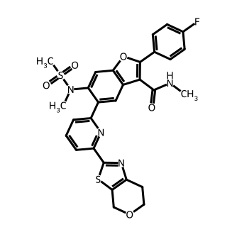 CNC(=O)c1c(-c2ccc(F)cc2)oc2cc(N(C)S(C)(=O)=O)c(-c3cccc(-c4nc5c(s4)COCC5)n3)cc12